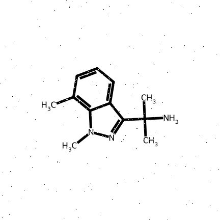 Cc1cccc2c(C(C)(C)N)nn(C)c12